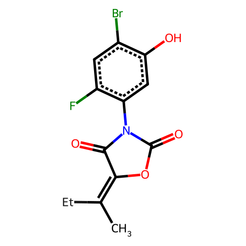 CCC(C)=C1OC(=O)N(c2cc(O)c(Br)cc2F)C1=O